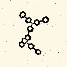 c1ccc(-c2ccc(N(c3ccc(-c4ccccc4)cc3)c3ccc(-c4ccc5c(c4)Cc4ccccc4N5c4ccc(-c5ccccc5)cc4)cc3)cc2)cc1